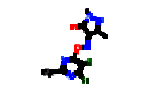 CC1=NN(C)C(=O)C1=NOc1nc(C(Cl)(Cl)Cl)nc(Cl)c1Cl